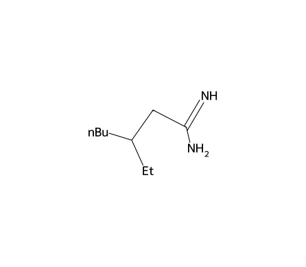 CCCCC(CC)CC(=N)N